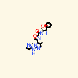 Cc1cnc(Nc2ccnn2C)nc1-c1coc(C(=O)N[C@H](CO)Cc2ccccc2)n1